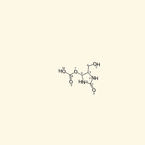 O=C1NC(CO)C(OC(=O)O)N1